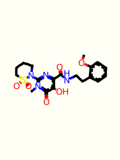 COc1ccccc1CCNC(=O)c1nc(N2CCCCS2(=O)=O)n(C)c(=O)c1O